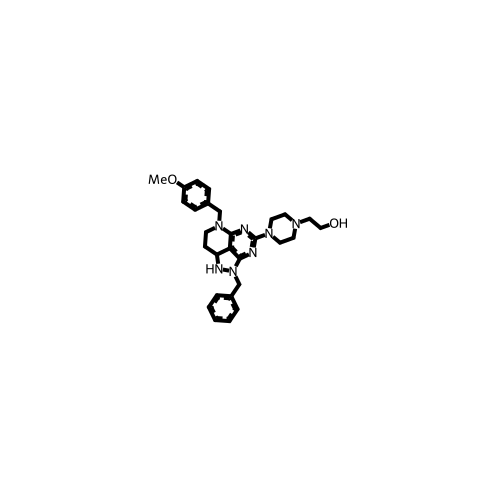 COc1ccc(CN2CCC3NN(Cc4ccccc4)c4nc(N5CCN(CCO)CC5)nc2c43)cc1